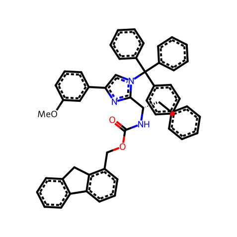 COc1cccc(-c2cn(C(c3ccccc3)(c3ccccc3)c3ccccc3)c([C@H](Cc3ccccc3)NC(=O)OCc3cccc4c3Cc3ccccc3-4)n2)c1